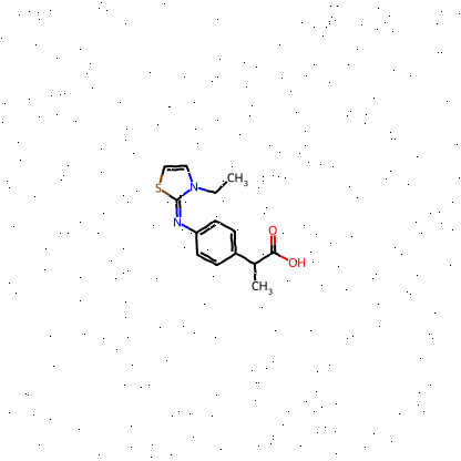 CCn1ccsc1=Nc1ccc(C(C)C(=O)O)cc1